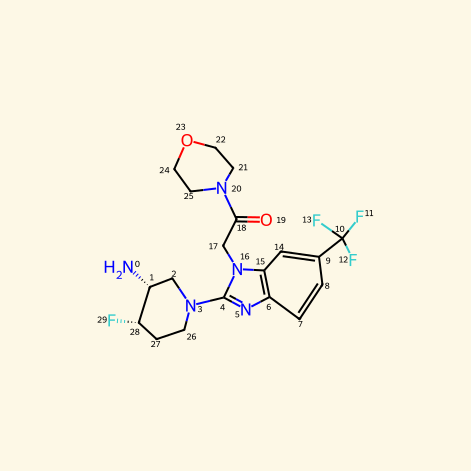 N[C@@H]1CN(c2nc3ccc(C(F)(F)F)cc3n2CC(=O)N2CCOCC2)CC[C@@H]1F